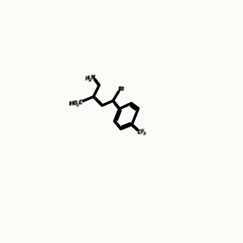 CCC(CC(CN)C(=O)O)c1ccc(C(F)(F)F)cc1